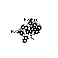 CC(C)(C)c1ccc(N(c2ccc3c(c2)C(C)(C)c2c-3c(N(c3ccc(C(C)(C)C)cc3)c3ccc4ccccc4c3)cc3c2-c2ccccc2C32c3cccc(F)c3-c3c(F)cccc32)c2ccc3ccccc3c2)cc1